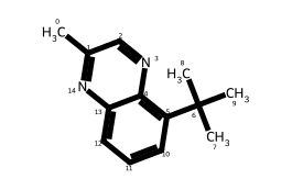 Cc1cnc2c(C(C)(C)C)cccc2n1